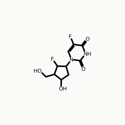 O=c1[nH]c(=O)n(C2CC(O)C(CO)C2F)cc1F